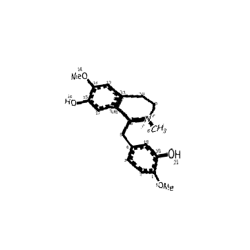 COc1ccc(CC2=[N+](C)CCc3cc(OC)c(O)cc32)cc1O